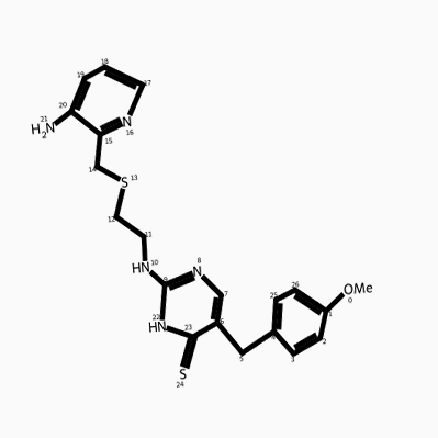 COc1ccc(Cc2cnc(NCCSCc3ncccc3N)[nH]c2=S)cc1